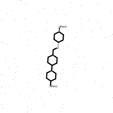 CCCCCC1CCC(C2CCC(CO[C@H]3CC[C@H](CCCCC)CC3)CC2)CC1